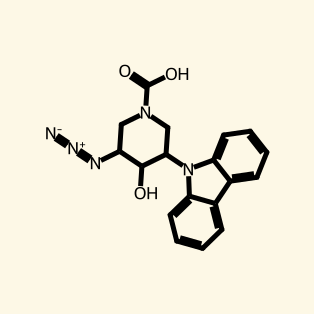 [N-]=[N+]=NC1CN(C(=O)O)CC(n2c3ccccc3c3ccccc32)C1O